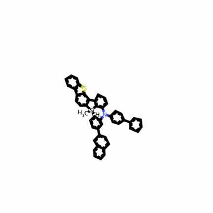 C[Si]1(C)c2ccc3c(sc4ccccc43)c2-c2cccc(N(c3ccc(-c4ccccc4)cc3)c3cccc(-c4ccc5ccccc5c4)c3)c21